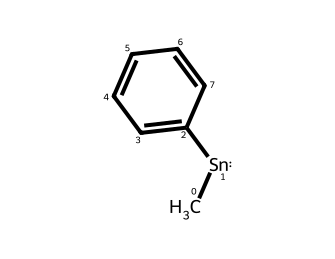 [CH3][Sn][c]1ccccc1